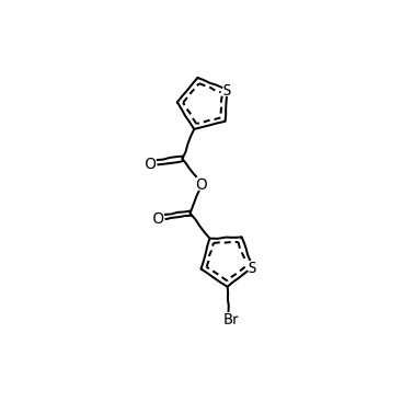 O=C(OC(=O)c1csc(Br)c1)c1ccsc1